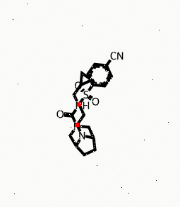 N#Cc1ccc(S(=O)(=O)CCCN2C3CCC2CN(C(=O)NCC2CC2)C3)cc1